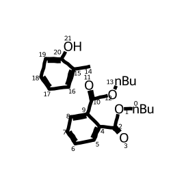 CCCCOC(=O)c1ccccc1C(=O)OCCCC.Cc1ccccc1O